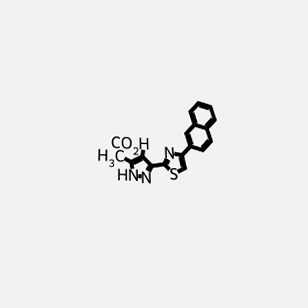 Cc1[nH]nc(-c2nc(-c3ccc4ccccc4c3)cs2)c1C(=O)O